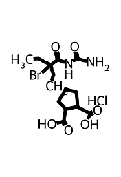 CCC(Br)(CC)C(=O)NC(N)=O.Cl.O=C(O)C1CCCC1C(=O)O